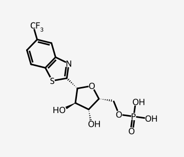 O=P(O)(O)OC[C@H]1O[C@@H](c2nc3cc(C(F)(F)F)ccc3s2)[C@H](O)[C@H]1O